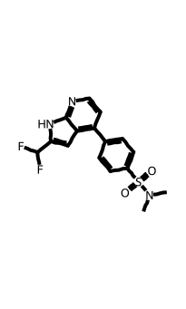 CN(C)S(=O)(=O)c1ccc(-c2ccnc3[nH]c(C(F)F)cc23)cc1